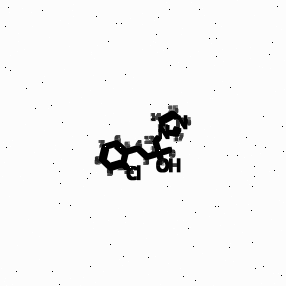 CC(O)(CCc1ccccc1Cl)Cn1ccnc1